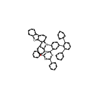 c1ccc(-c2nc(-c3ccccc3)nc(-c3cc(-c4c(-c5ccccc5)cccc4-c4ccccc4)ccc3-n3c4ccccc4c4c5oc6ccccc6c5ccc43)n2)cc1